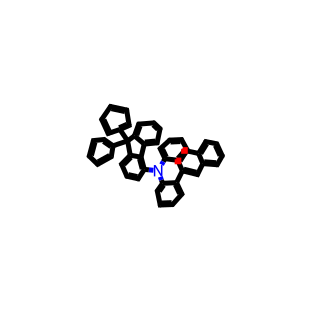 c1ccc(N(c2ccccc2-c2ccc3ccccc3c2)c2cccc3c2-c2ccccc2C3(c2ccccc2)c2ccccc2)cc1